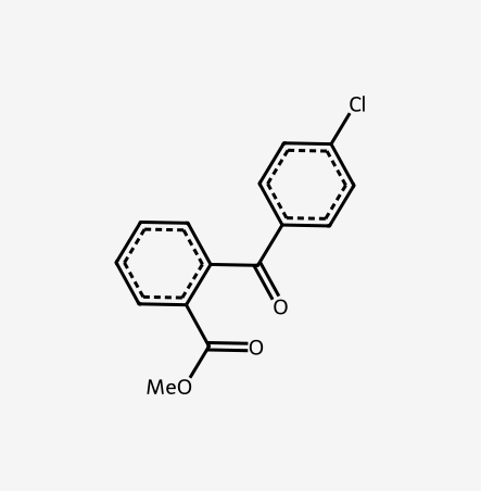 COC(=O)c1ccccc1C(=O)c1ccc(Cl)cc1